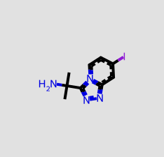 CC(C)(N)c1nnc2cc(I)ccn12